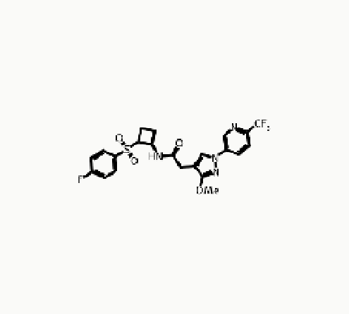 COc1nn(-c2ccc(C(F)(F)F)nc2)cc1CC(=O)NC1CCC1S(=O)(=O)c1ccc(F)cc1